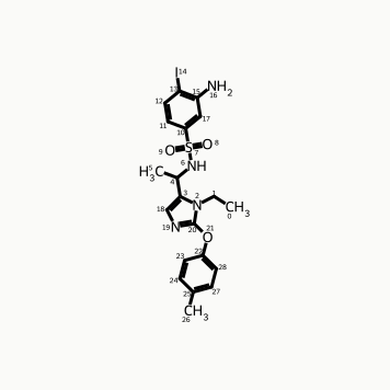 CCn1c(C(C)NS(=O)(=O)c2ccc(I)c(N)c2)cnc1Oc1ccc(C)cc1